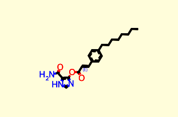 CCCCCCCCc1ccc(/C=C/C(=O)Oc2nc[nH]c2C(N)=O)cc1